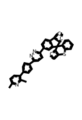 Cc1ccc(-c2ccc(-c3ccc(-c4ccc5c(c4)C4(c6ccccc6Sc6ccccc64)c4ccccc4-5)nn3)cc2)c(C)n1